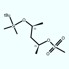 C[C@@H](C[C@H](C)OS(C)(=O)=O)O[Si](C)(C)C(C)(C)C